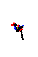 CCCCCCCCCCCCCCOc1ccccc1-c1c(C(N)=O)c(Sc2nnnn2-c2cccc(C(=O)O)c2)c2ccccc2c1O